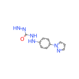 N=NC(=O)NNc1ccc(-n2cccn2)cc1